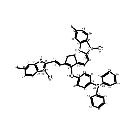 CCN1/C(=C/C=C2\CCC(/C=C/c3sc4cc(C)ccc4[n+]3CC)=C2Oc2ccc([S+](c3ccccc3)c3ccccc3)cc2)Sc2cc(C)ccc21